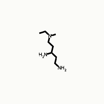 CCN(C)CCC(N)CCN